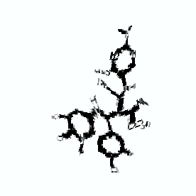 COc1nc(N(C)C)ncc1N/C(=C(\C(=N)C(=O)O)C(Nc1cc(Cl)c(=O)n(C)c1)c1ccc(Cl)c(F)c1)C(C)C